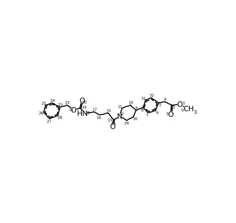 COC(=O)Cc1ccc(C2CCN(C(=O)CCCNC(=O)OCc3ccccc3)CC2)cc1